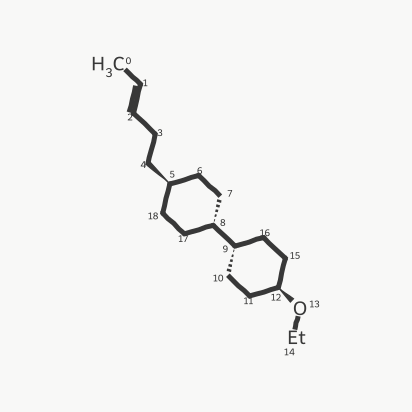 C/C=C/CC[C@H]1CC[C@H]([C@H]2CC[C@H](OCC)CC2)CC1